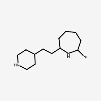 [N]C1CCCCC(CCC2CCNCC2)N1